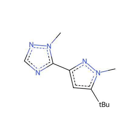 Cn1nc(-c2ncnn2C)cc1C(C)(C)C